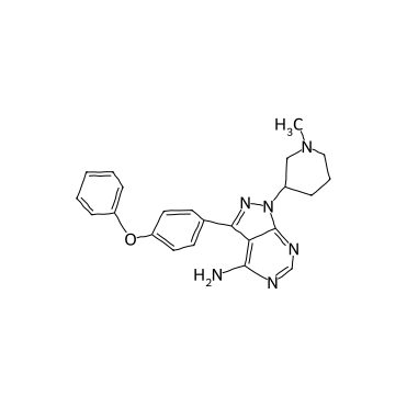 CN1CCCC(n2nc(-c3ccc(Oc4ccccc4)cc3)c3c(N)ncnc32)C1